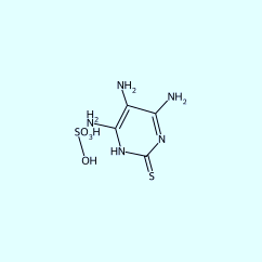 Nc1nc(=S)[nH]c(N)c1N.O=S(=O)(O)O